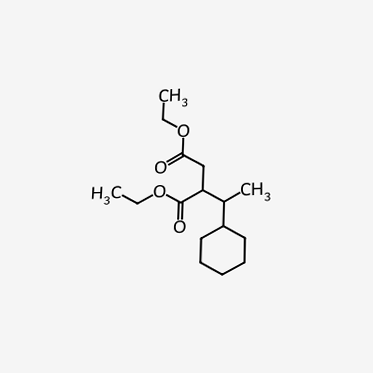 CCOC(=O)CC(C(=O)OCC)C(C)C1CCCCC1